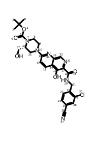 CC(C)(C)OC(=O)N1CCN(c2ccc3c(O)c(C(=O)NCc4ccc(C#N)cc4Cl)ncc3n2)C[C@@H]1CO